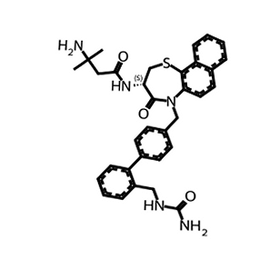 CC(C)(N)CC(=O)N[C@@H]1CSc2c(ccc3ccccc23)N(Cc2ccc(-c3ccccc3CNC(N)=O)cc2)C1=O